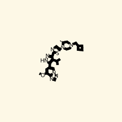 COc1cc(-c2[nH]nc(-c3ncc(N4CCN(CC5CCC5)C[C@H]4C)s3)c2C(C)C)cn2ncnc12